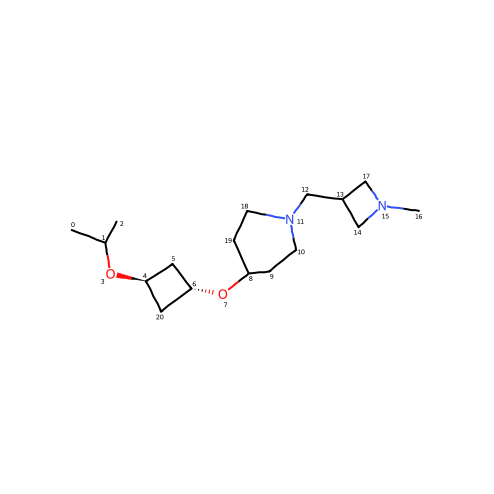 CC(C)O[C@H]1C[C@H](OC2CCN(CC3CN(C)C3)CC2)C1